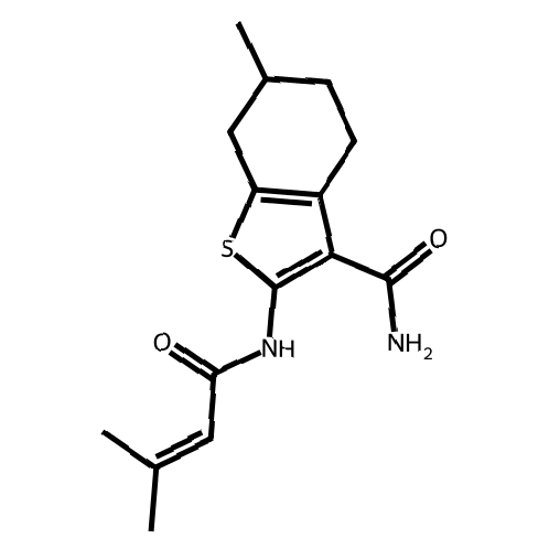 CC(C)=CC(=O)Nc1sc2c(c1C(N)=O)CCC(C)C2